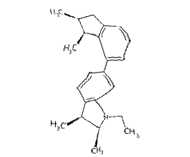 CCN1c2cc(-c3cccc4c3[C@@H](C)[C@@H](C)C4)ccc2[C@H](C)[C@@H]1C